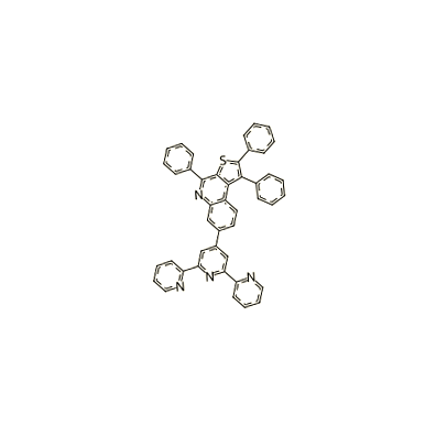 c1ccc(-c2sc3c(-c4ccccc4)nc4cc(-c5cc(-c6ccccn6)nc(-c6ccccn6)c5)ccc4c3c2-c2ccccc2)cc1